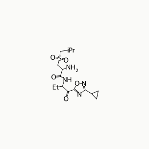 CCC(NC(=O)C(N)CS(=O)(=O)CC(C)C)C(=O)c1nc(C2CC2)no1